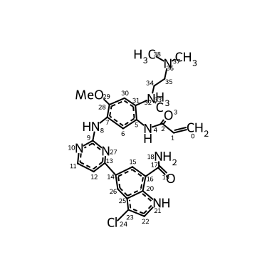 C=CC(=O)Nc1cc(Nc2nccc(-c3cc(C(N)=O)c4[nH]cc(Cl)c4c3)n2)c(OC)cc1N(C)CCN(C)C